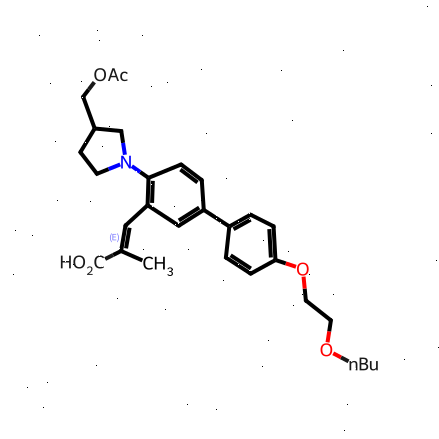 CCCCOCCOc1ccc(-c2ccc(N3CCC(COC(C)=O)C3)c(/C=C(\C)C(=O)O)c2)cc1